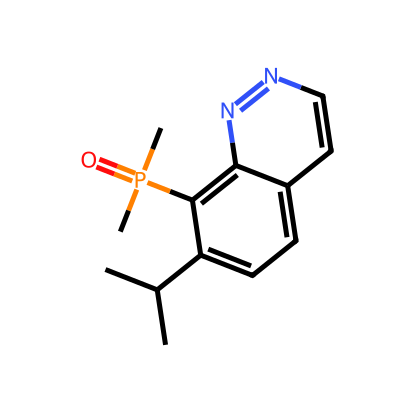 CC(C)c1ccc2ccnnc2c1P(C)(C)=O